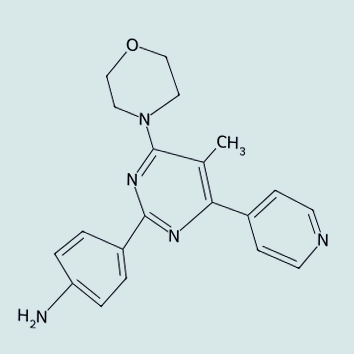 Cc1c(-c2ccncc2)nc(-c2ccc(N)cc2)nc1N1CCOCC1